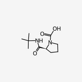 CC(C)(C)NC(=O)[C@@H]1CCCN1C(=O)O